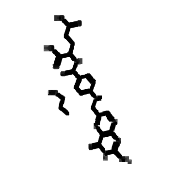 CCCO.Nc1nc2ncc(CNc3ccc(C(=O)NC(CCC(=O)O)C(=O)O)cc3)nc2c(=O)[nH]1